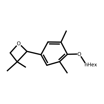 CCCCCCOc1c(C)cc(C2OCC2(C)C)cc1C